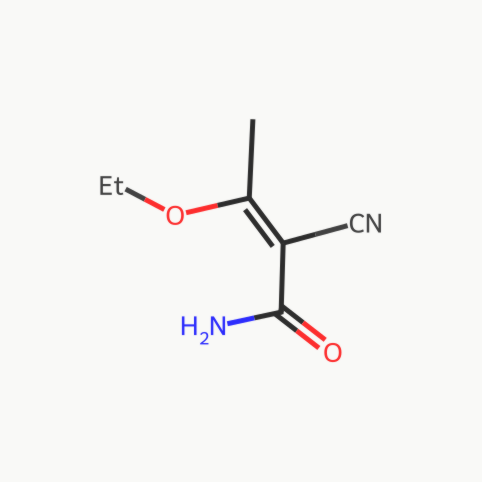 CCO/C(C)=C(/C#N)C(N)=O